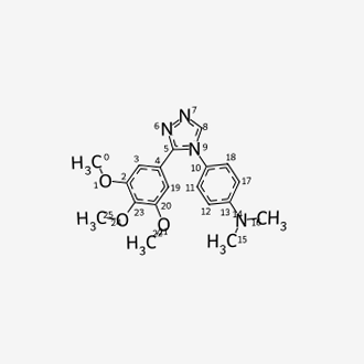 COc1cc(-c2nncn2-c2ccc(N(C)C)cc2)cc(OC)c1OC